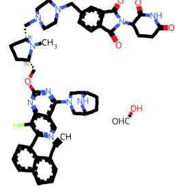 C#Cc1cccc2cccc(-c3ncc4c(N5CC6CCC(C5)N6)nc(OC[C@@H]5CC[C@H](CN6CCN(Cc7ccc8c(c7)C(=O)N(C7CCC(=O)NC7=O)C8=O)CC6)N5C)nc4c3F)c12.O=CO